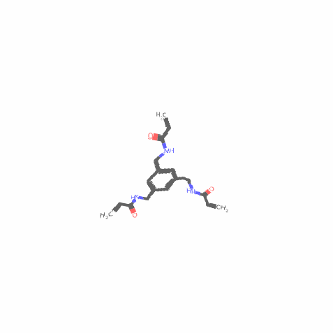 C=CC(=O)NCc1cc(CNC(=O)C=C)cc(CNC(=O)C=C)c1